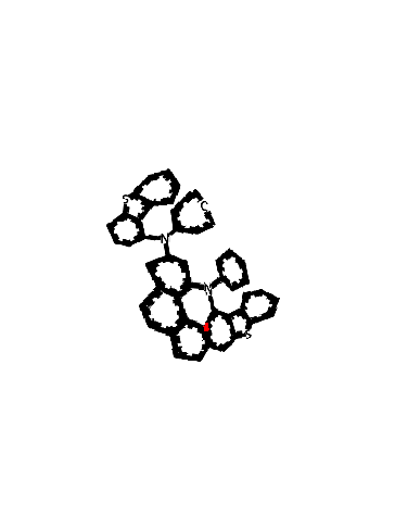 c1ccc(N(c2cc(N(c3ccccc3)c3cccc4sc5ccccc5c34)c3c(ccc4ccccc43)c2)c2cccc3sc4ccccc4c23)cc1